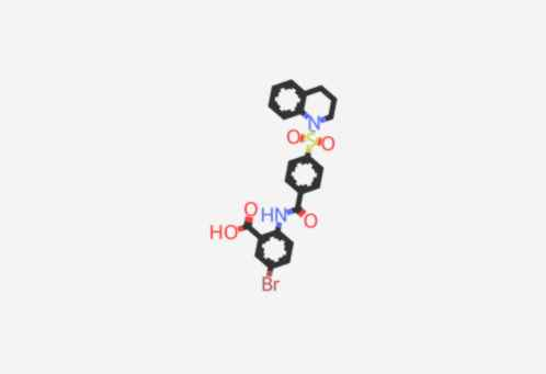 O=C(Nc1ccc(Br)cc1C(=O)O)c1ccc(S(=O)(=O)N2CCCc3ccccc32)cc1